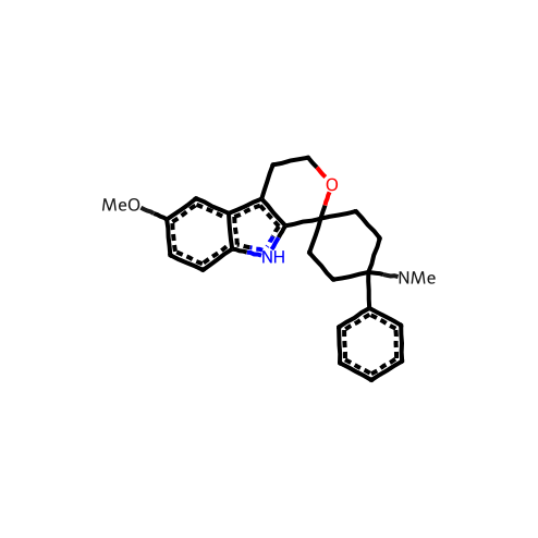 CNC1(c2ccccc2)CCC2(CC1)OCCc1c2[nH]c2ccc(OC)cc12